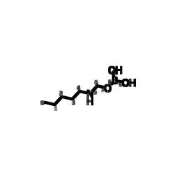 CCCCCNCOB(O)O